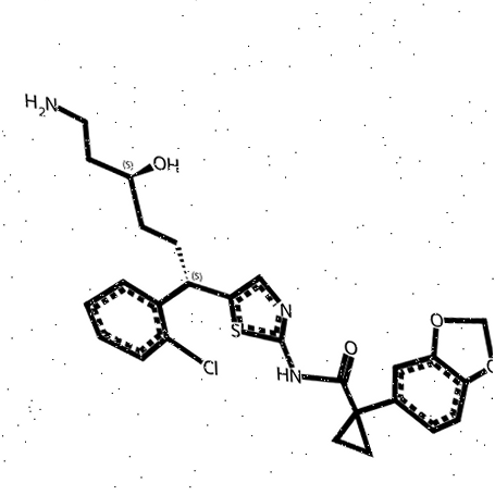 NCC[C@@H](O)CC[C@H](c1cnc(NC(=O)C2(c3ccc4c(c3)OCO4)CC2)s1)c1ccccc1Cl